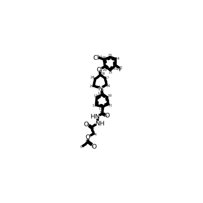 CC(=O)OCC(=O)NNC(=O)c1ccc(N2CCC(Oc3cc(F)ccc3Cl)CC2)cc1